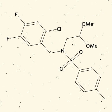 COC(CN(Cc1cc(F)c(F)cc1Cl)S(=O)(=O)c1ccc(C)cc1)OC